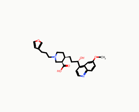 COc1ccc2nccc([C@@H](O)CC[C@@H]3CCN(CCCc4ccoc4)C[C@@H]3C(=O)O)c2c1